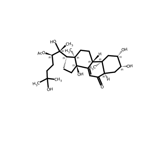 CC(=O)O[C@H](CCC(C)(C)O)[C@](C)(O)[C@H]1CC[C@@]2(O)C3=CC(=O)[C@@H]4C[C@@H](O)[C@@H](O)C[C@]4(C)[C@H]3CC[C@]12C